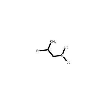 CCN([CH]C(C)C(C)C)CC